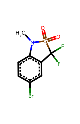 CN1c2ccc(Br)cc2C(F)(F)S1(=O)=O